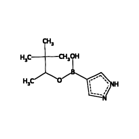 CC(OB(O)c1cn[nH]c1)C(C)(C)C